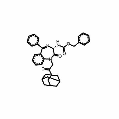 O=C(N[C@H]1N=C(c2ccccc2)c2ccccc2N(CC(=O)C23CC4CC(CC(C4)C2)C3)C1=O)OCc1ccccc1